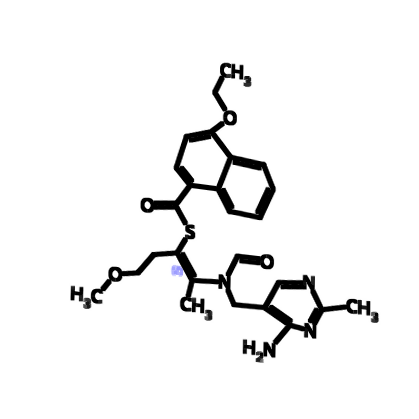 CCOc1ccc(C(=O)S/C(CCOC)=C(/C)N(C=O)Cc2cnc(C)nc2N)c2ccccc12